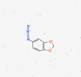 [N-]=[N+]=Nc1ccc2c(c1)OCO2